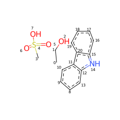 CCO.CS(=O)(=O)O.c1ccc2c(c1)[nH]c1ccccc12